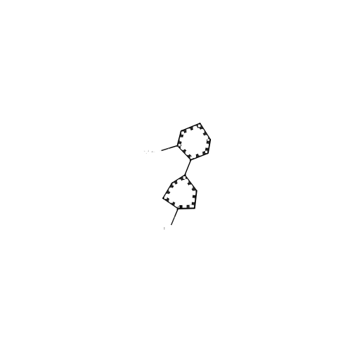 COc1ccccc1-c1ccc(C(C)C)cc1